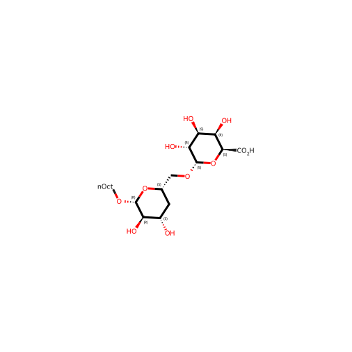 CCCCCCCCO[C@@H]1O[C@H](CO[C@H]2O[C@H](C(=O)O)[C@H](O)[C@H](O)[C@H]2O)C[C@H](O)[C@H]1O